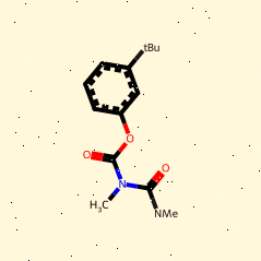 CNC(=O)N(C)C(=O)Oc1cccc(C(C)(C)C)c1